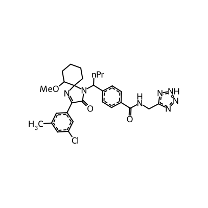 CCCC(c1ccc(C(=O)NCc2nn[nH]n2)cc1)N1C(=O)C(c2cc(C)cc(Cl)c2)=NC12CCCCC2OC